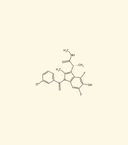 CNC(=O)[C@H](C)c1c(C)n(C(=O)c2cccc(Cl)c2)c2cc(F)c(O)c(F)c12